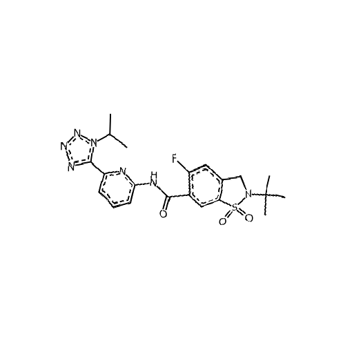 CC(C)n1nnnc1-c1cccc(NC(=O)c2cc3c(cc2F)CN(C(C)(C)C)S3(=O)=O)n1